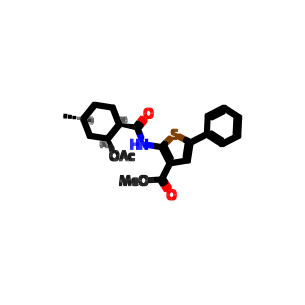 COC(=O)c1cc(-c2ccccc2)sc1NC(=O)[C@@H]1CC[C@@H](C)C[C@@H]1OC(C)=O